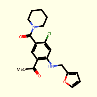 COC(=O)c1cc(C(=O)N2CCCCC2)c(Cl)cc1NCc1ccco1